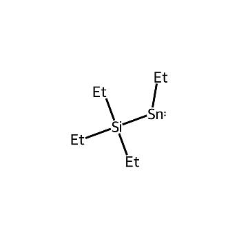 C[CH2][Sn][Si](CC)(CC)CC